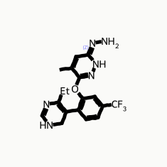 CCC1=C(c2ccc(C(F)(F)F)cc2Oc2n[nH]/c(=N\N)cc2C)CNC=N1